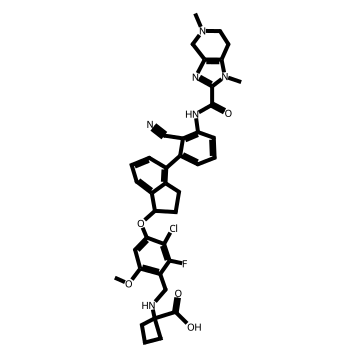 COc1cc(OC2CCc3c(-c4cccc(NC(=O)c5nc6c(n5C)CCN(C)C6)c4C#N)cccc32)c(Cl)c(F)c1CNC1(C(=O)O)CCC1